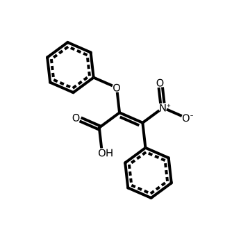 O=C(O)C(Oc1ccccc1)=C(c1ccccc1)[N+](=O)[O-]